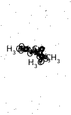 COc1ccc(-c2ccccc2-n2c(C)cc(C(=O)Nc3ccc(S(C)(=O)=O)cc3)c2C)cc1OC